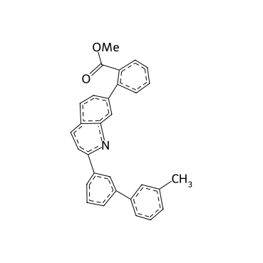 COC(=O)c1ccccc1-c1ccc2ccc(-c3cccc(-c4cccc(C)c4)c3)nc2c1